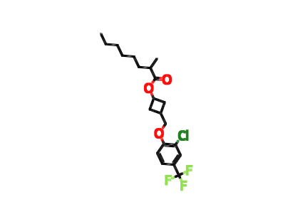 CCCCCCC(C)C(=O)OC1CC(COc2ccc(C(F)(F)F)cc2Cl)C1